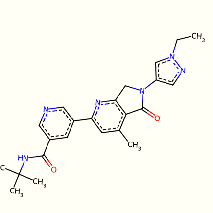 CCn1cc(N2Cc3nc(-c4cncc(C(=O)NC(C)(C)C)c4)cc(C)c3C2=O)cn1